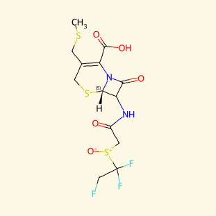 CSCC1=C(C(=O)O)N2C(=O)C(NC(=O)C[S+]([O-])C(F)(F)CF)[C@@H]2SC1